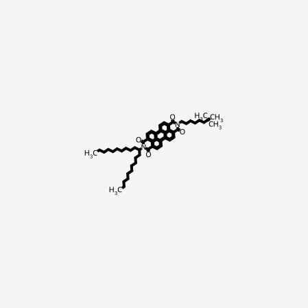 CCCCCCCCCCC(CCCCCCCCCC)N1C(=O)c2ccc3c4ccc5c6c(ccc(c7ccc(c2c37)C1=O)c64)C(=O)N(CCCCCCC(C)(C)C)C5=O